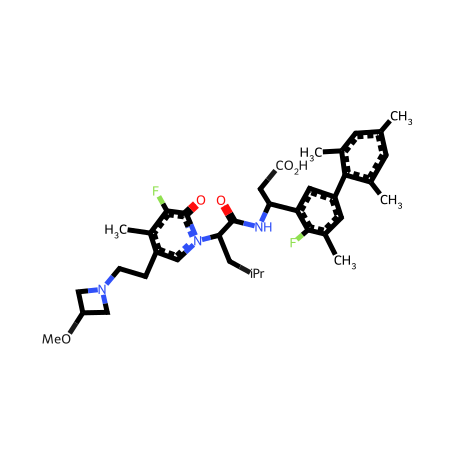 COC1CN(CCc2cn(C(CC(C)C)C(=O)NC(CC(=O)O)c3cc(-c4c(C)cc(C)cc4C)cc(C)c3F)c(=O)c(F)c2C)C1